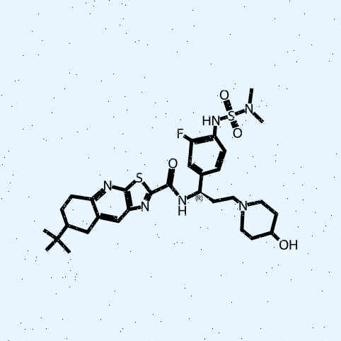 CN(C)S(=O)(=O)Nc1ccc([C@@H](CCN2CCC(O)CC2)NC(=O)c2nc3cc4c(nc3s2)CCC(C(C)(C)C)C4)cc1F